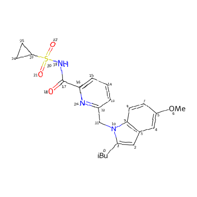 CCC(C)c1cc2cc(OC)ccc2n1Cc1cccc(C(=O)NS(=O)(=O)C2CC2)n1